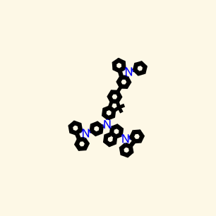 CC1(C)c2cc(-c3ccc4c(c3)c3ccccc3n4-c3ccccc3)ccc2-c2ccc(N(c3ccc(-n4c5ccccc5c5ccccc54)cc3)c3ccc(-n4c5ccccc5c5ccccc54)c4ccccc34)cc21